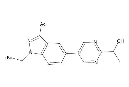 CC(=O)c1nn(CC(C)(C)C)c2ccc(-c3cnc(C(C)O)nc3)cc12